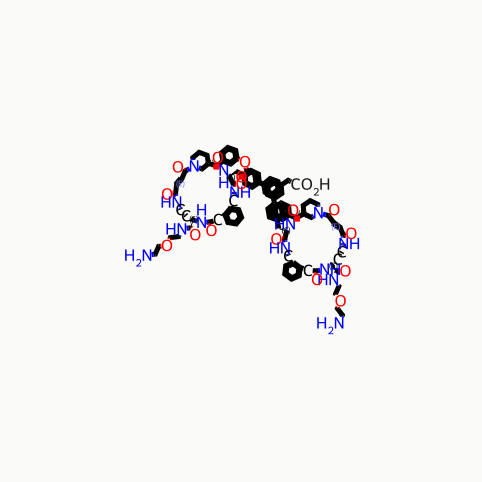 NCCOCCNC(=O)[C@@H]1CCNC(=O)/C=C/C(=O)N2CCC[C@](Cc3ccccc3)(C2)C(=O)N[C@@H](Cc2ccc(-c3cccc(CCC(=O)Oc4cccc(C[C@@]56CCCN(C5)C(=O)/C=C/C(=O)NCC[C@@H](C(=O)NCCOCCN)NC(=O)Cc5ccccc5CNC(=O)[C@H](Cc5ccc(-c7cccc(CC(=O)O)c7)cc5)NC6=O)c4)c3)cc2)C(=O)NCc2ccccc2CC(=O)N1